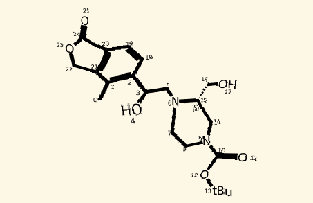 Cc1c(C(O)CN2CCN(C(=O)OC(C)(C)C)C[C@H]2CO)ccc2c1COC2=O